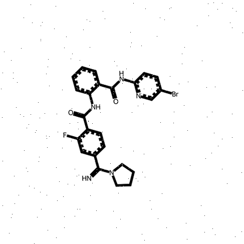 N=C(c1ccc(C(=O)Nc2ccccc2C(=O)Nc2ccc(Br)cn2)c(F)c1)N1CCCC1